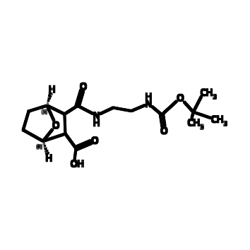 CC(C)(C)OC(=O)NCCNC(=O)C1C(C(=O)O)[C@H]2CC[C@@H]1O2